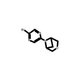 Brc1cnc(N2C3COCC2C3)cn1